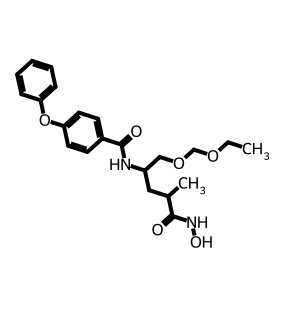 CCOCOCC(CC(C)C(=O)NO)NC(=O)c1ccc(Oc2ccccc2)cc1